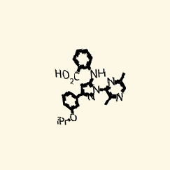 Cc1cnc(C)c(-n2nc(-c3cccc(OC(C)C)c3)cc2Nc2ccccc2C(=O)O)n1